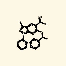 Cc1nn(-c2ccccc2)c2nc(OC(C)c3ccccc3)c(C(=N)N)cc12